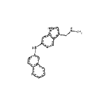 CNCc1c[nH]c2cc(Nc3ccc4ncccc4c3)ccc12